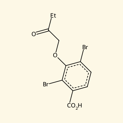 CCC(=O)COc1c(Br)ccc(C(=O)O)c1Br